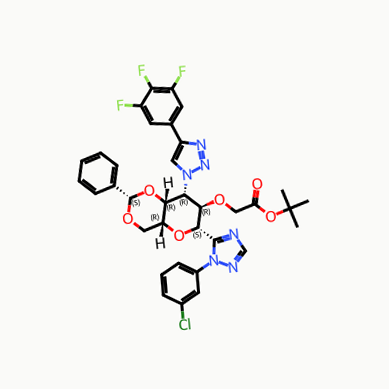 CC(C)(C)OC(=O)CO[C@@H]1[C@@H](n2cc(-c3cc(F)c(F)c(F)c3)nn2)[C@H]2O[C@@H](c3ccccc3)OC[C@H]2O[C@H]1c1ncnn1-c1cccc(Cl)c1